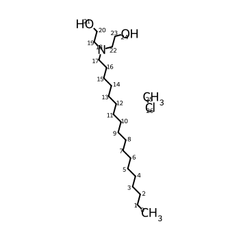 CCCCCCCCCCCCCCCCCCN(CCO)CCO.CCl